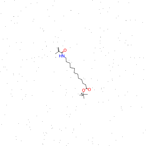 C=C(C)C(=O)NCCCCCCCCCCCC(=O)O[Si](C)(C)C